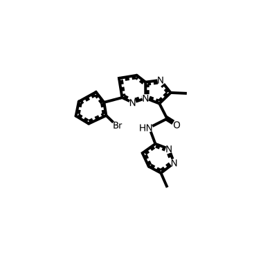 Cc1ccc(NC(=O)c2c(C)nc3ccc(-c4ccccc4Br)nn23)nn1